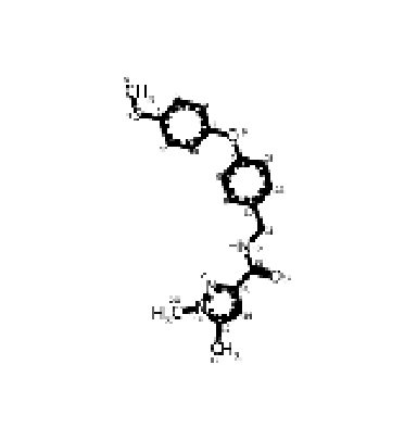 CSc1ccc(Oc2ccc(CNC(=O)c3cc(C)n(C)n3)cc2)cc1